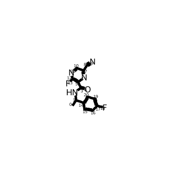 CC(NC(=O)c1nc(C#N)cnc1F)c1ccc(F)cc1